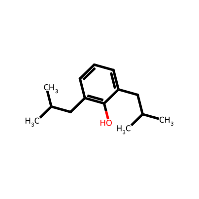 CC(C)Cc1cccc(CC(C)C)c1O